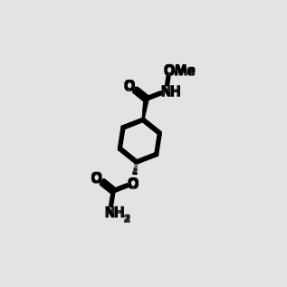 CONC(=O)[C@H]1CC[C@H](OC(N)=O)CC1